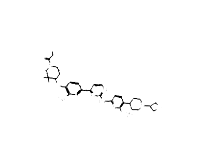 COc1nc(Nc2nccc(-c3ccc(OC4CCN(C(=O)CC(C)C)CC4(F)F)c(C#N)c3)n2)ccc1C1CCN(C2COC2)CC1